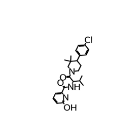 CC(C)[C@@H](NC(=O)c1cccc(O)n1)C(=O)N1CCC(c2ccc(Cl)cc2)C(C)(C)C1